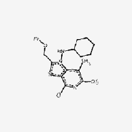 CCOCc1nc2c(Cl)nc(C)c(C)c2n1NC1CCCCC1